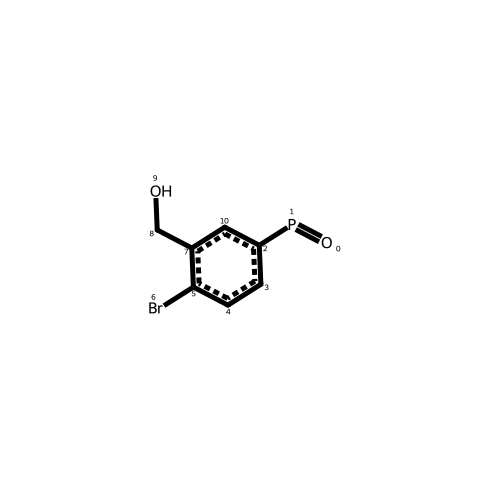 O=Pc1ccc(Br)c(CO)c1